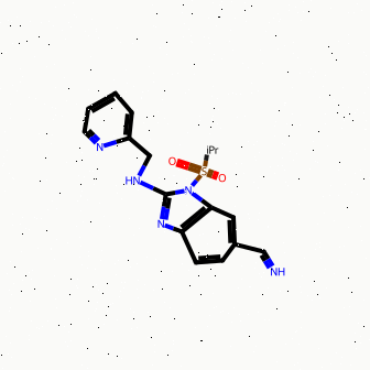 CC(C)S(=O)(=O)n1c(NCc2ccccn2)nc2ccc(C=N)cc21